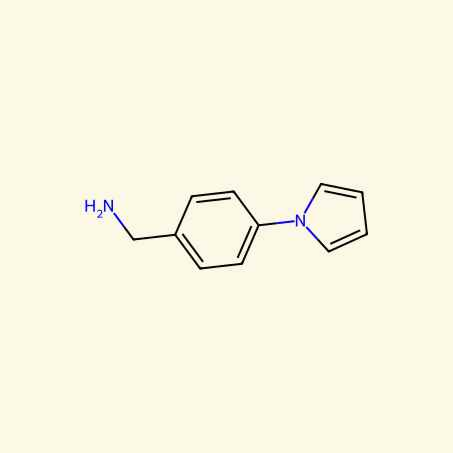 NCc1ccc(-n2cccc2)cc1